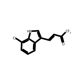 O=C(C=Cc1c[nH]c2c(Cl)cccc12)C(F)(F)F